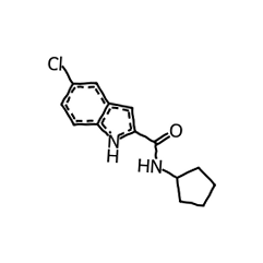 O=C(NC1CCCC1)c1cc2cc(Cl)ccc2[nH]1